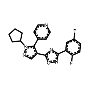 Fc1ccc(F)c(-c2noc(-c3cnn(C4CCCC4)c3-c3ccncc3)n2)c1